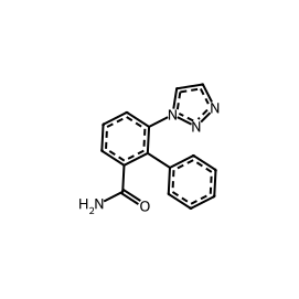 NC(=O)c1cccc(-n2ccnn2)c1-c1ccccc1